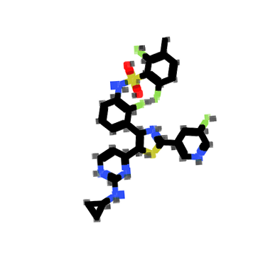 Cc1ccc(F)c(S(=O)(=O)Nc2cccc(-c3nc(-c4cncc(F)c4)sc3-c3ccnc(NC4CC4)n3)c2F)c1F